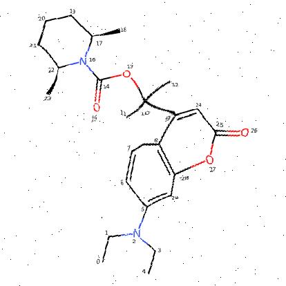 CCN(CC)c1ccc2c(C(C)(C)OC(=O)N3[C@H](C)CCC[C@@H]3C)cc(=O)oc2c1